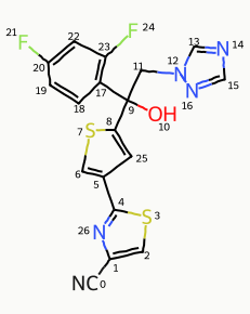 N#Cc1csc(-c2csc(C(O)(Cn3cncn3)c3ccc(F)cc3F)c2)n1